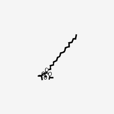 CCCCCCCCCCCCCCCCOP(=O)(OC(C)C)OC(C)C